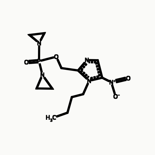 CCCCn1c([N+](=O)[O-])cnc1COP(=O)(N1CC1)N1CC1